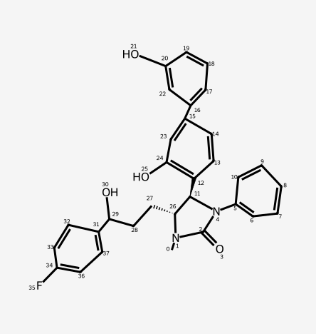 CN1C(=O)N(c2ccccc2)[C@H](c2ccc(-c3cccc(O)c3)cc2O)[C@H]1CCC(O)c1ccc(F)cc1